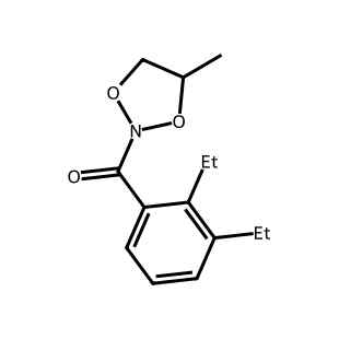 CCc1cccc(C(=O)N2OCC(C)O2)c1CC